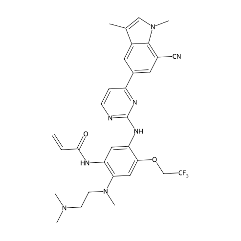 C=CC(=O)Nc1cc(Nc2nccc(-c3cc(C#N)c4c(c3)c(C)cn4C)n2)c(OCC(F)(F)F)cc1N(C)CCN(C)C